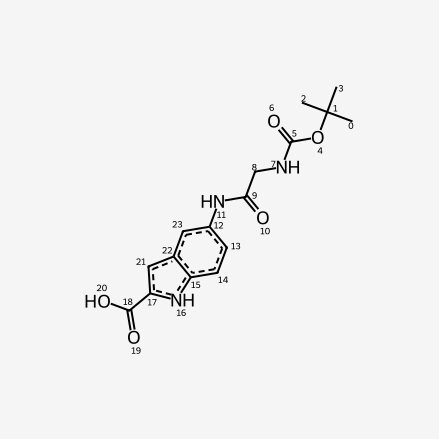 CC(C)(C)OC(=O)NCC(=O)Nc1ccc2[nH]c(C(=O)O)cc2c1